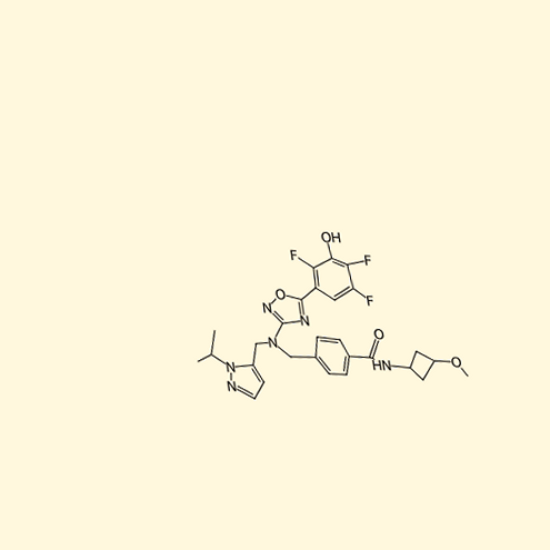 COC1CC(NC(=O)c2ccc(CN(Cc3ccnn3C(C)C)c3noc(-c4cc(F)c(F)c(O)c4F)n3)cc2)C1